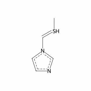 C[SH]=Cn1ccnc1